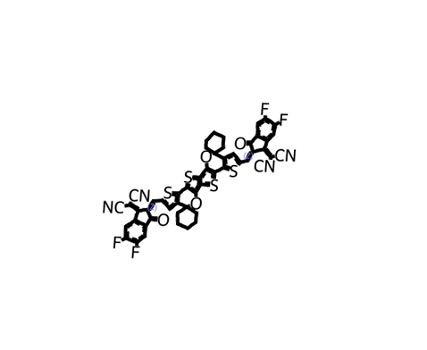 N#CC(C#N)=C1/C(=C/c2cc3c(s2)-c2sc4c5c(sc4c2OC32CCCCC2)-c2sc(/C=C3\C(=O)c4cc(F)c(F)cc4C3=C(C#N)C#N)cc2C2(CCCCC2)O5)C(=O)c2cc(F)c(F)cc21